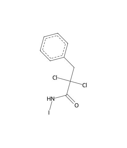 O=C(NI)C(Cl)(Cl)Cc1ccccc1